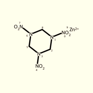 O=[N+]([O-])N1CN([N+](=O)[O-])CN([N+](=O)[O-])C1.[Zn+2]